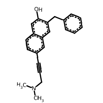 CN(C)CC#Cc1ccc2cc(O)c(Cc3ccccc3)cc2c1